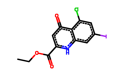 CCOC(=O)c1cc(=O)c2c(Cl)cc(I)cc2[nH]1